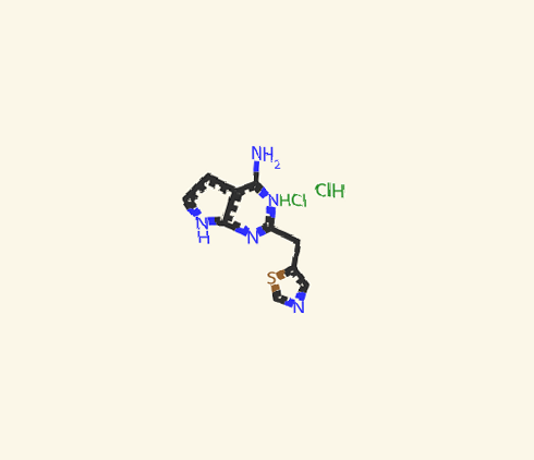 Cl.Cl.Nc1nc(Cc2cncs2)nc2[nH]ccc12